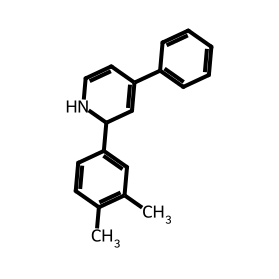 Cc1ccc(C2C=C(c3ccccc3)C=CN2)cc1C